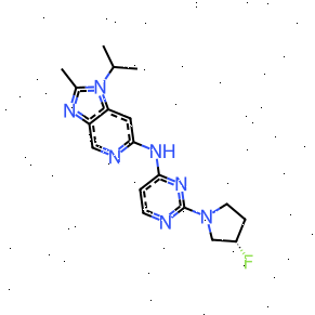 Cc1nc2cnc(Nc3ccnc(N4CC[C@H](F)C4)n3)cc2n1C(C)C